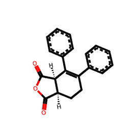 O=C1OC(=O)[C@@H]2CCC(c3ccccc3)=C(c3ccccc3)[C@H]12